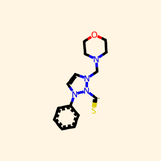 S=[C]N1N(CN2CCOCC2)C=CN1c1ccccc1